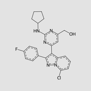 OCc1cc(-c2c(-c3ccc(F)cc3)nn3c(Cl)cccc23)nc(NC2CCCC2)n1